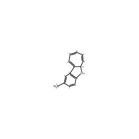 Nc1ccc2c(c1)C1=CC=CC=CC1O2